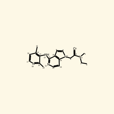 CCN(C)C(=O)Cn1ccc2c(Nc3c(C)ccnc3C)nccc21